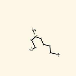 CCC[C@@H](CCO)CCCCC(C)C